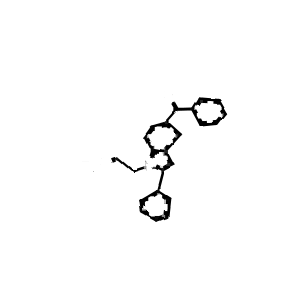 C=CCn1c(-c2ccccc2)[c]c2cc(C(=O)c3ccccc3)ccc21